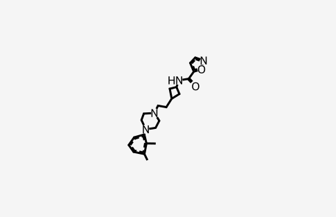 Cc1cccc(N2CCN(CCC3CC(NC(=O)c4ccno4)C3)CC2)c1C